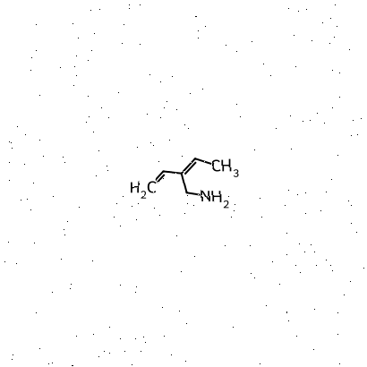 C=CC(=CC)CN